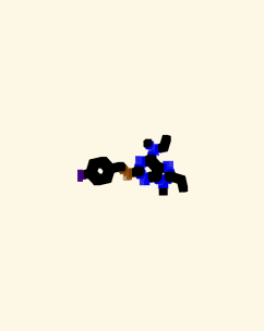 CCc1nc2c(N(C)CC)nc(SCc3ccc(I)cc3)nc2n1C